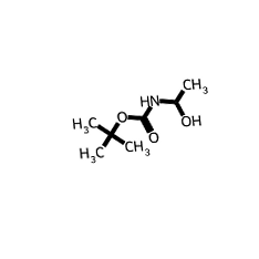 CC(O)NC(=O)OC(C)(C)C